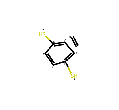 C=C.Sc1ccc(S)cc1